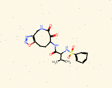 CC(C)C(NS(=O)(=O)c1ccccc1)C(=O)NC1CCc2onnc2CNC(=O)C1=O